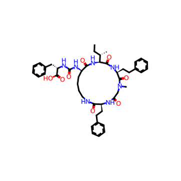 CC[C@H](C)[C@@H]1NC(=O)[C@H](NC(=O)N[C@@H](Cc2ccccc2)C(=O)O)CCCCNC(=O)[C@H](CCc2ccccc2)NC(=O)CN(C)C(=O)[C@H](CCc2ccccc2)NC1=O